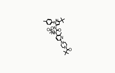 Cc1ccc(-n2nc(C(C)(C)C)cc2N(OS(C)(=O)=O)C(=O)Nc2ccc(N3CCN(C(=O)C(C)(C)C)CC3)nc2C)cc1